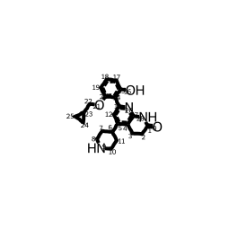 O=C1CCc2c(C3CCNCC3)cc(-c3c(O)cccc3OCC3CC3)nc2N1